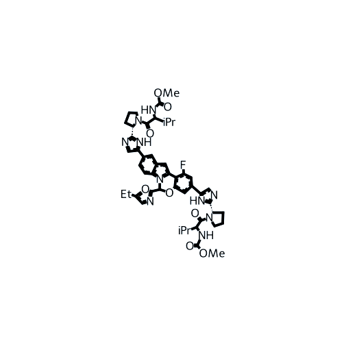 CCc1cnc(C2Oc3cc(-c4cnc([C@@H]5CCCN5C(=O)C(NC(=O)OC)C(C)C)[nH]4)cc(F)c3-c3cc4cc(-c5cnc([C@@H]6CCCN6C(=O)C(NC(=O)OC)C(C)C)[nH]5)ccc4n32)o1